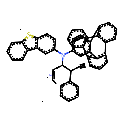 C#CC(c1ccccc1)C(/C=C\C)N(c1c#cc2c(c1)-c1c3cccc1-c1cccc-2c1-c1ccccc1-3)c1ccc2sc3ccccc3c2c1